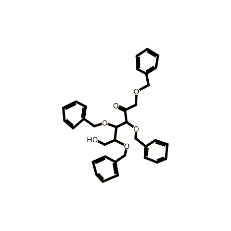 O=C(COCc1ccccc1)C(OCc1ccccc1)C(OCc1ccccc1)C(CO)OCc1ccccc1